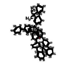 CCC(C)c1ccc(-c2ccc3c(c2)C2(c4ccccc4-3)c3ccccc3-c3ccc(-c4ccc(N(c5ccc(-c6ccccc6)cc5)c5ccc6c(c5)C(C)(C)c5ccccc5-6)cc4)cc32)cc1